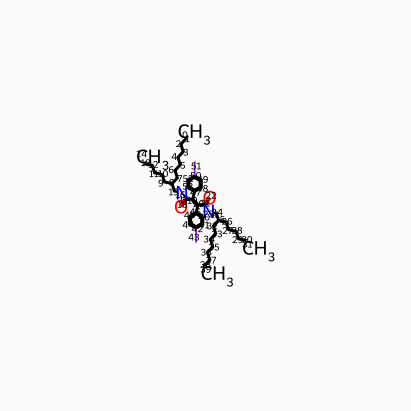 CCCCCCCCC(CCCCCC)CN1C(=O)/C(=C2/C(=O)N(CC(CCCCCC)CCCCCCCC)c3cc(I)ccc32)c2ccc(I)cc21